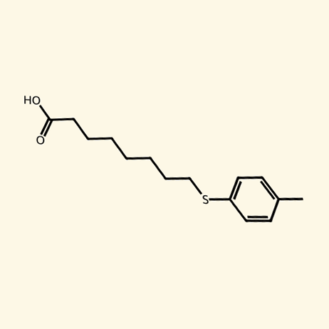 Cc1ccc(SCCCCCCCC(=O)O)cc1